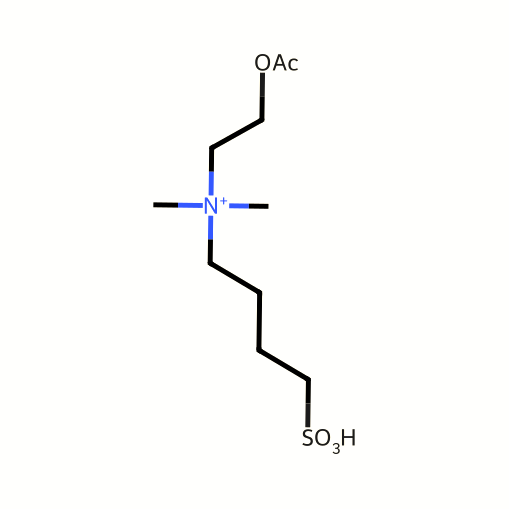 CC(=O)OCC[N+](C)(C)CCCCS(=O)(=O)O